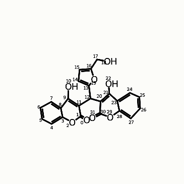 O=c1oc2ccccc2c(O)c1C(c1ccc(CO)o1)c1c(O)c2ccccc2oc1=O